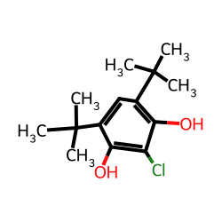 CC(C)(C)c1cc(C(C)(C)C)c(O)c(Cl)c1O